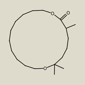 CC1CCCC(C)(C)OCCCCCCCCCCOC1=O